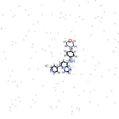 Fc1cc(-c2ccc(Nc3ccc(N4CCOCC4)cc3)c3nccn23)ccn1